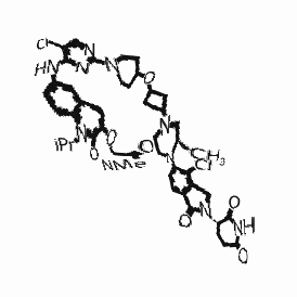 CNC(=O)COc1cc2cc(Nc3nc(N4CCC(OC5CC(N6CCN(c7ccc8c(c7Cl)CN([C@H]7CCC(=O)NC7=O)C8=O)[C@H](C)C6)C5)CC4)ncc3Cl)ccc2n(C(C)C)c1=O